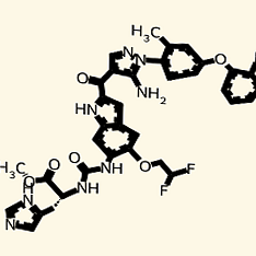 COC(=O)[C@@H](Cc1cnc[nH]1)NC(=O)Nc1cc2[nH]c(C(=O)c3cnn(-c4ccc(Oc5ccccc5F)cc4C)c3N)cc2cc1OCC(F)F